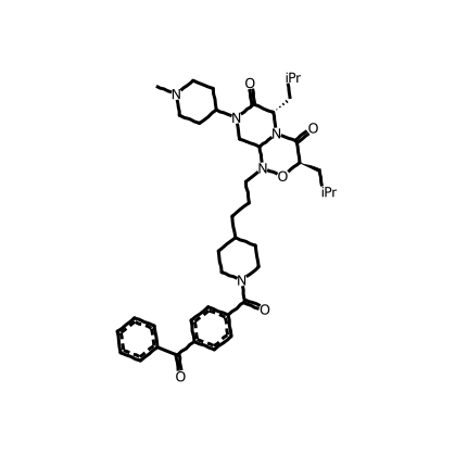 CC(C)C[C@H]1ON(CCCC2CCN(C(=O)c3ccc(C(=O)c4ccccc4)cc3)CC2)C2CN(C3CCN(C)CC3)C(=O)[C@H](CC(C)C)N2C1=O